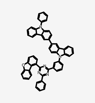 c1ccc(-c2nc(-c3cccc(-n4c5ccccc5c5cc(-c6ccc7c(c6)c6ccccc6n7-c6ccccc6)ccc54)c3)nc(-c3cccc4oc5ccccc5c34)n2)cc1